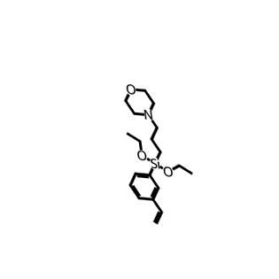 C=Cc1cccc([Si](CCCN2CCOCC2)(OCC)OCC)c1